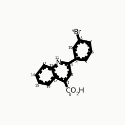 O=C(O)c1cc(-c2cccc(Br)c2)nc2ccccc12